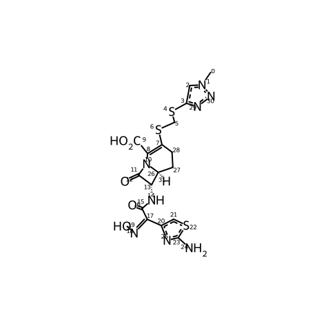 Cn1cc(SCSC2=C(C(=O)O)N3C(=O)[C@@H](NC(=O)/C(=N\O)c4csc(N)n4)[C@@H]3CC2)nn1